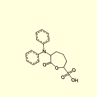 O=C1OC(S(=O)(=O)O)CCCC1N(c1ccccc1)c1ccccc1